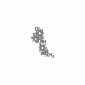 CCS(=O)(=O)c1ccc(CNc2nc3cnc(Cl)nc3n(C3(C)CC3)c2=O)cc1